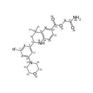 CC1(C)CC(c2cc(F)cc(N3CCOCC3)c2)Nc2ccc(C(=O)OCC(N)=O)cc21